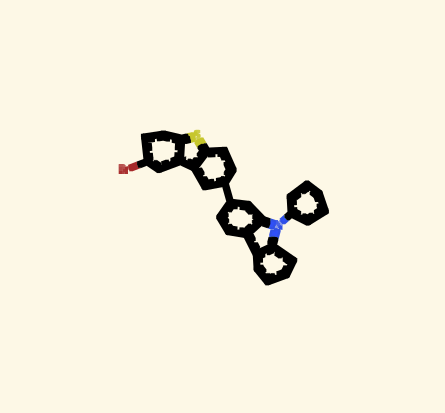 Brc1ccc2sc3ccc(-c4ccc5c6ccccc6n(-c6ccccc6)c5c4)cc3c2c1